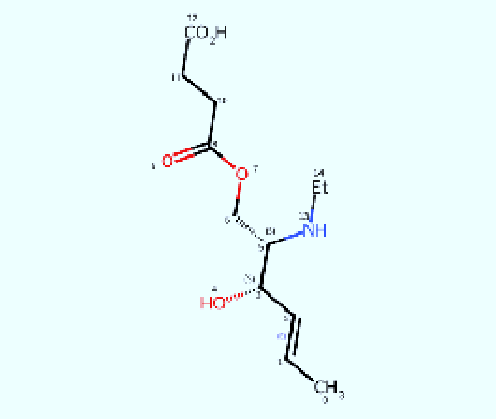 C/C=C/[C@H](O)[C@H](COC(=O)CCC(=O)O)NCC